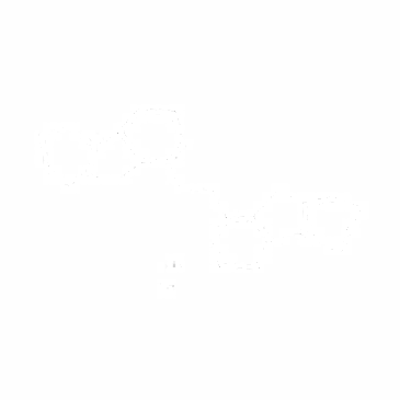 [LiH].[LiH].c1ccc2c(c1)Cc1c(CCc3cccc4c3Cc3ccccc3-4)cccc1-2